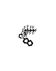 O=S(=O)(OS1(c2ccc3ccccc3c2)CCCC1)C(F)(F)C(F)(F)C(F)(F)C(F)(F)F